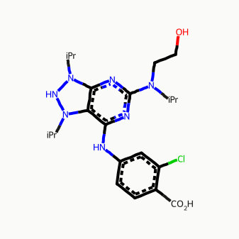 CC(C)N(CCO)c1nc(Nc2ccc(C(=O)O)c(Cl)c2)c2c(n1)N(C(C)C)NN2C(C)C